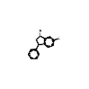 O[C@H]1CC(c2ccccc2)c2ccc(Cl)cc21